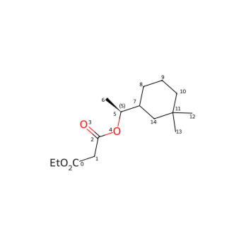 CCOC(=O)CC(=O)O[C@@H](C)C1CCCC(C)(C)C1